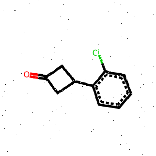 O=C1CC(c2ccccc2Cl)C1